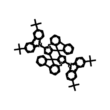 CC(C)(C)c1ccc2c(c1)c1cc(C(C)(C)C)ccc1n2-c1cc2c(s1)C1(c3ccccc3-c3ccccc31)c1cc(-n3c4ccc(C(C)(C)C)cc4c4cc(C(C)(C)C)ccc43)sc1C21c2ccccc2-c2ccccc21